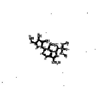 CCOC(=O)c1nn(C(C(=O)O)P(=O)(OCC)OCC)c2c(=O)n(C3OC(CO)C(O)C3O)nnc12